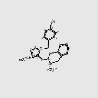 CCOC(=O)[C@H]1Cc2ccccc2CN1Cc1cncn1Cc1ccc(C#N)cc1.Cl.Cl